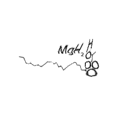 CCCCCCCCCCCCCCCCCC(=O)OC(=O)C(C)O.[MgH2]